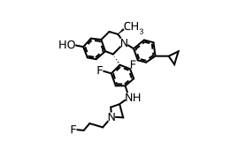 C[C@@H]1Cc2cc(O)ccc2[C@@H](c2c(F)cc(NC3CN(CCCF)C3)cc2F)N1c1ccc(C2CC2)cc1